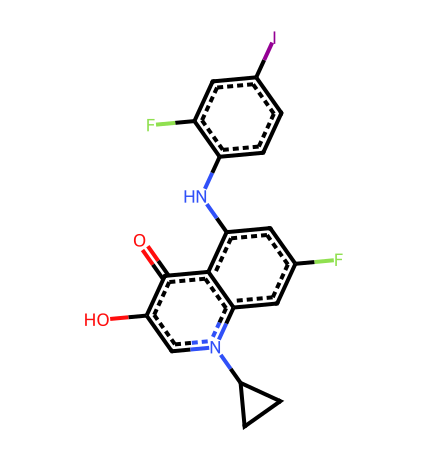 O=c1c(O)cn(C2CC2)c2cc(F)cc(Nc3ccc(I)cc3F)c12